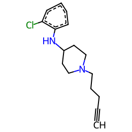 C#CCCCN1CCC(Nc2ccccc2Cl)CC1